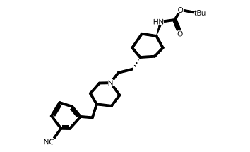 CC(C)(C)OC(=O)N[C@H]1CC[C@H](CCN2CCC(Cc3cccc(C#N)c3)CC2)CC1